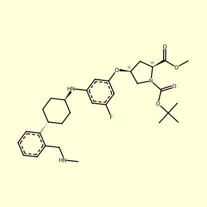 CNCc1ccccc1[C@H]1CC[C@H](Nc2cc(F)cc(O[C@H]3C[C@@H](C(=O)OC)N(C(=O)OC(C)(C)C)C3)c2)CC1